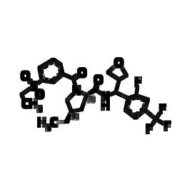 CC[C@@H]1C[C@H](C(=O)NC(c2ccc(C(F)(F)F)cc2F)C2COC2)N(C(=O)c2cccc(S(=O)(=O)CC)c2)C1